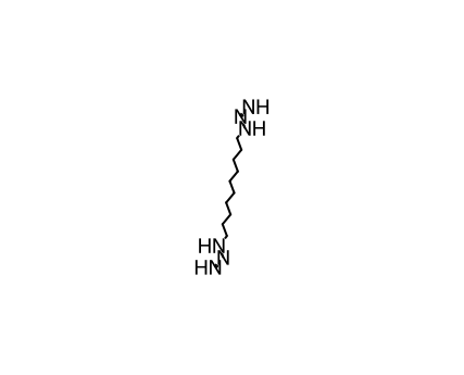 N=NNCCCCCCCCCCNN=N